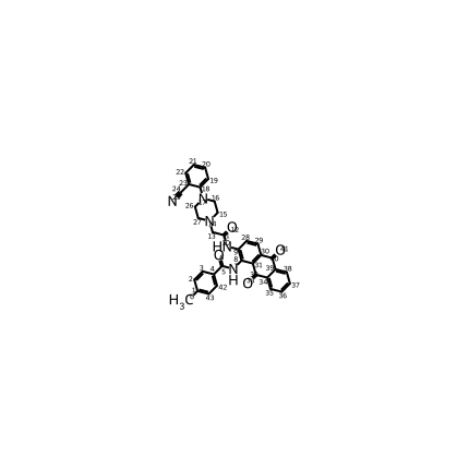 Cc1ccc(C(=O)Nc2c(NC(=O)CN3CCN(c4ccccc4C#N)CC3)ccc3c2C(=O)c2ccccc2C3=O)cc1